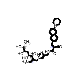 C/C=C(/Cn1cc(CNC(=O)/C(C#N)=C/c2ccc3cc(N4CCCCC4)ccc3c2)nn1)[C@@H](O)[C@H](O)C[C@@H](O)[C@H](O)OC